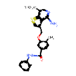 Cc1ccc(C(=O)Nc2ccccc2)cc1OCc1csc2c(C(=O)O)cnc(N)c12